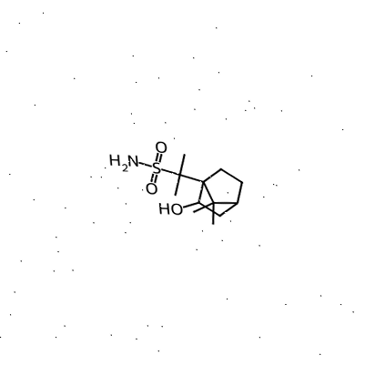 CC1(C)C2CCC1(C(C)(C)S(N)(=O)=O)C(O)C2